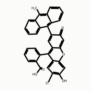 Cc1c2ccccc2c(-c2cc3c(-c4ccccc4C(=O)O)c4cc(Cl)c(O)cc4oc-3cc2=O)c2ccccc12